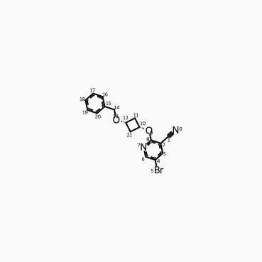 N#Cc1cc(Br)cnc1O[C@H]1C[C@@H](OCc2ccccc2)C1